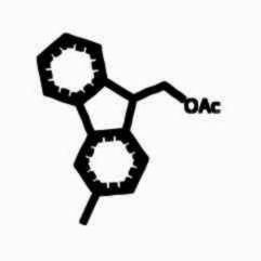 CC(=O)OCC1c2ccccc2-c2cc(C)ccc21